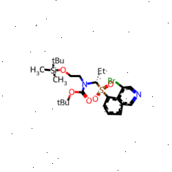 C[CH][C@@H](N(CCO[Si](C)(C)C(C)(C)C)C(=O)OC(C)(C)C)S(=O)(=O)c1cccc2cncc(Br)c12